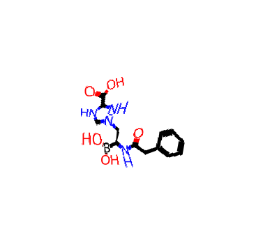 O=C(Cc1ccccc1)N[C@H](CN1CNC(C(=O)O)N1)B(O)O